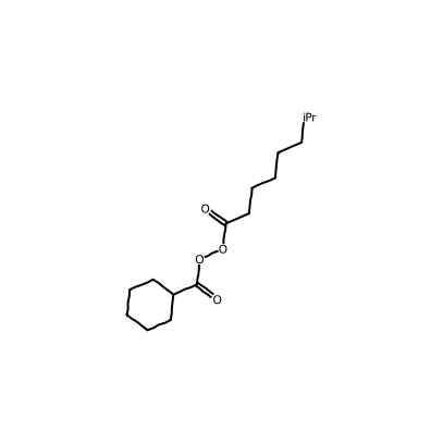 CC(C)CCCCCC(=O)OOC(=O)C1CCCCC1